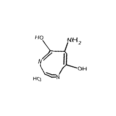 Cl.Nc1c(O)ncnc1O